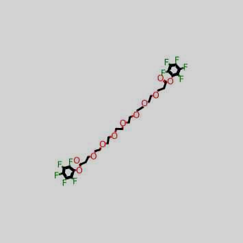 O=C(CCOCCOCCOCCOCCOCCOCCOCCC(=O)Oc1c(F)c(F)c(F)c(F)c1F)Oc1c(F)c(F)c(F)c(F)c1F